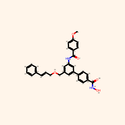 COc1ccc(C(=O)Nc2cc(COC/C=C/c3ccccc3)cc(-c3ccc(C(=O)NO)cc3)c2)cc1